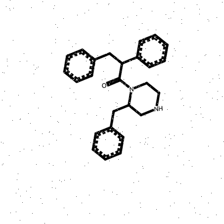 O=C(C(Cc1ccccc1)c1ccccc1)N1CCNCC1Cc1ccccc1